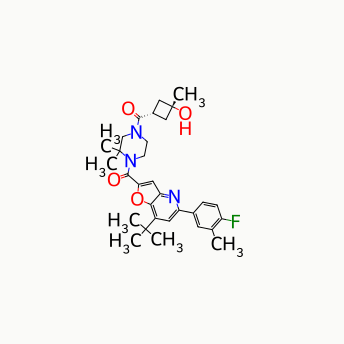 Cc1cc(-c2cc(C(C)(C)C)c3oc(C(=O)N4CCN(C(=O)[C@H]5C[C@@](C)(O)C5)CC4(C)C)cc3n2)ccc1F